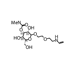 C=CNCCOCCOC1O[C@H](CO)[C@@H](O)[C@H](OC(=O)NC)[C@@H]1O